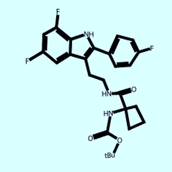 CC(C)(C)OC(=O)NC1(C(=O)NCCc2c(-c3ccc(F)cc3)[nH]c3c(F)cc(F)cc23)CCC1